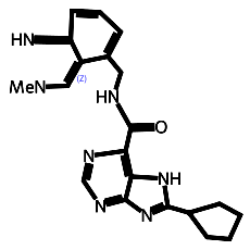 CN/C=C1\C(=N)C=CC=C1CNC(=O)c1ncnc2nc(C3CCCC3)[nH]c12